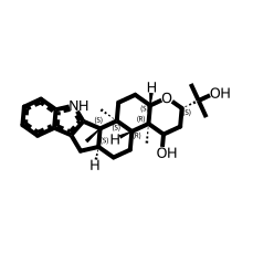 CC(C)(O)[C@@H]1CC(O)[C@]2(C)[C@H](CC[C@@]3(C)[C@H]2CC[C@H]2Cc4c([nH]c5ccccc45)[C@@]23C)O1